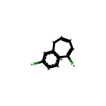 FC1=CC=CCc2cc(F)ccc21